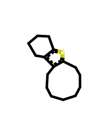 C1CCCCc2c(sc3c2CCCC3)CCC1